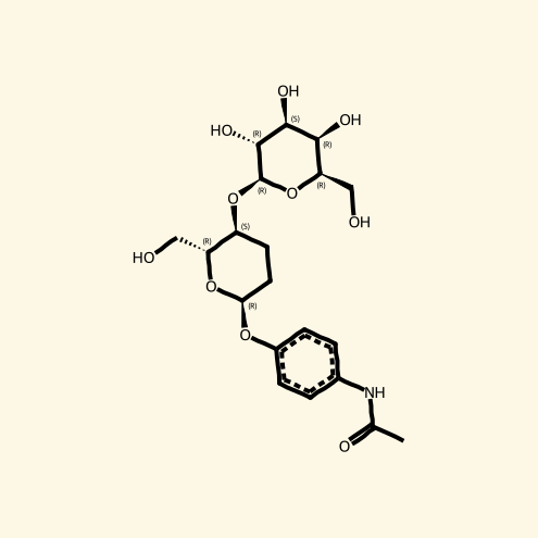 CC(=O)Nc1ccc(O[C@@H]2CC[C@H](O[C@@H]3O[C@H](CO)[C@H](O)[C@H](O)[C@H]3O)[C@@H](CO)O2)cc1